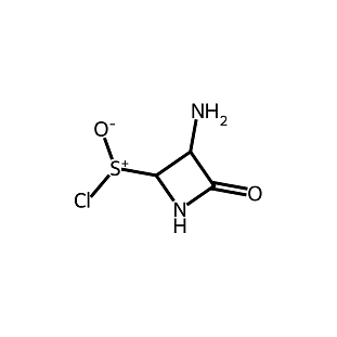 NC1C(=O)NC1[S+]([O-])Cl